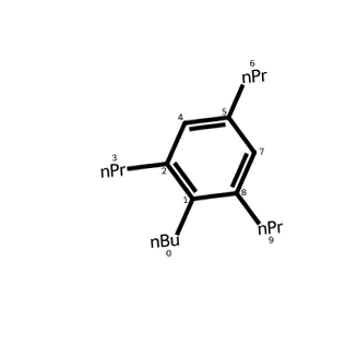 [CH2]CCCc1c(CCC)cc(CCC)cc1CCC